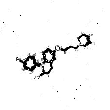 O=C1CCc2cc(OCCCN3CCCCC3)ccc2N1c1ccc(F)cc1